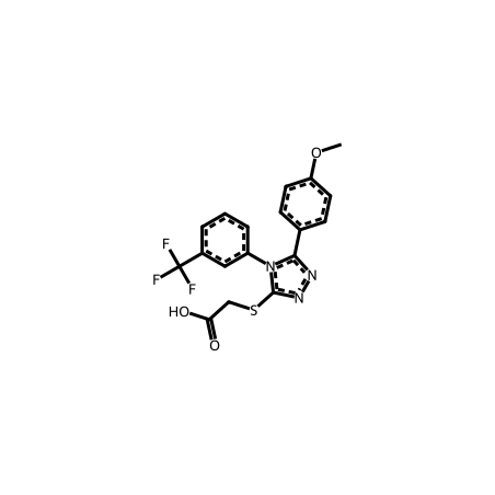 COc1ccc(-c2nnc(SCC(=O)O)n2-c2cccc(C(F)(F)F)c2)cc1